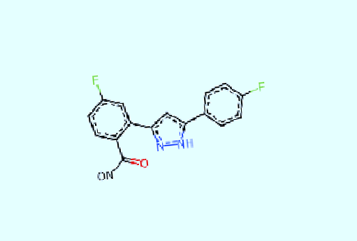 O=NC(=O)c1ccc(F)cc1-c1cc(-c2ccc(F)cc2)[nH]n1